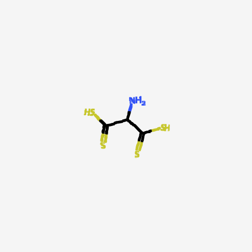 NC(C(=S)S)C(=S)S